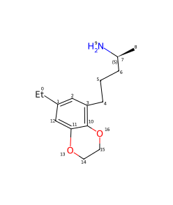 CCc1cc(CCC[C@H](C)N)c2c(c1)OCCO2